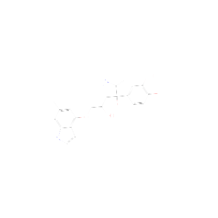 Cc1cc(OCC(O)CC(O)(c2ccc(O)c(O)c2)C(C)N)c2cc[nH]c2c1